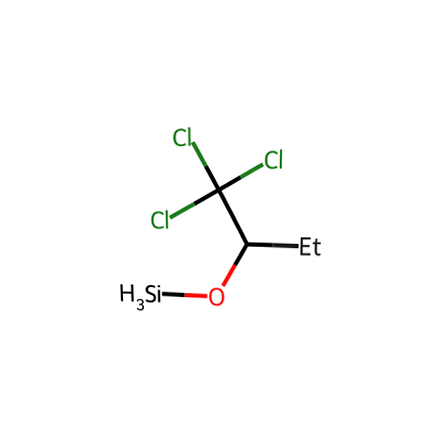 CCC(O[SiH3])C(Cl)(Cl)Cl